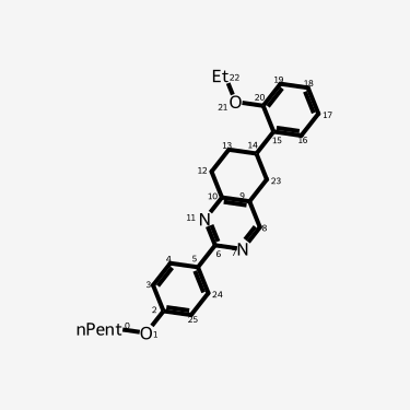 CCCCCOc1ccc(-c2ncc3c(n2)CCC(c2ccccc2OCC)C3)cc1